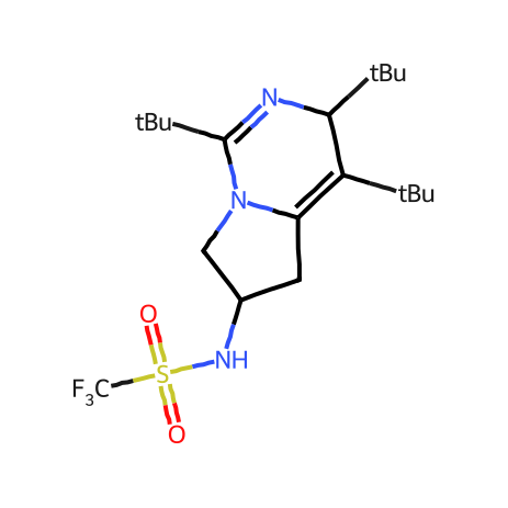 CC(C)(C)C1=NC(C(C)(C)C)C(C(C)(C)C)=C2CC(NS(=O)(=O)C(F)(F)F)CN12